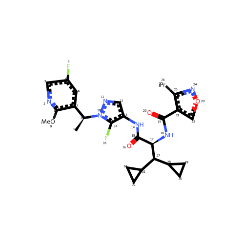 COc1ncc(F)cc1[C@H](C)n1ncc(NC(=O)[C@@H](NC(=O)c2conc2C(C)C)C(C2CC2)C2CC2)c1F